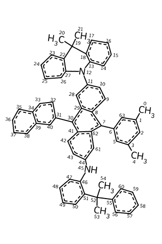 Cc1cc(C)cc(-c2c3ccc(N4c5ccccc5C(C)(C)c5ccccc54)cc3c(-c3ccc4ccccc4c3)c3ccc(Nc4ccccc4C(C)(C)c4ccccc4)cc23)c1